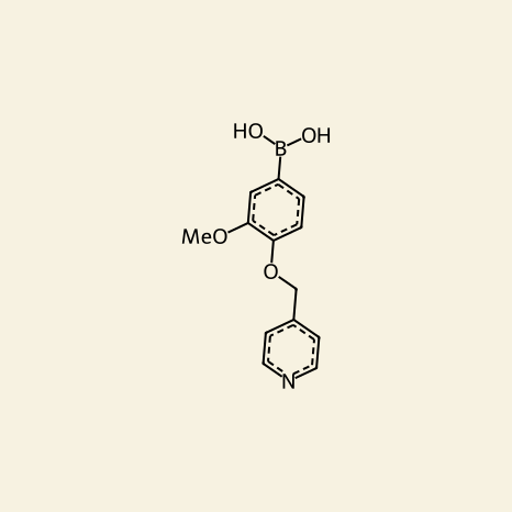 COc1cc(B(O)O)ccc1OCc1ccncc1